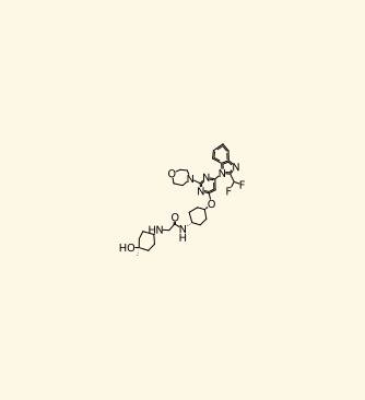 C[C@]1(O)CC[C@H](NCC(=O)N[C@H]2CC[C@H](Oc3cc(-n4c(C(F)F)nc5ccccc54)nc(N4CCOCC4)n3)CC2)CC1